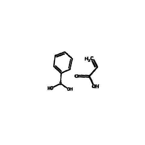 C=CC(=O)O.OB(O)c1ccccc1